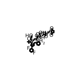 CC(C)(C)[C@H](c1cc(-c2cc(F)ccc2F)cn1Cc1ccccc1)N(CC[C@H](N)C(=O)N[C@@H](CCC(=O)NCCN1C(=O)C=CC1=O)C(=O)O)C(=O)CO